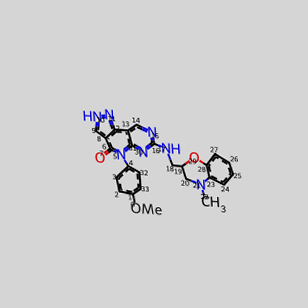 COc1ccc(-n2c(=O)c3c[nH]nc3c3cnc(NCC4CN(C)c5ccccc5O4)nc32)cc1